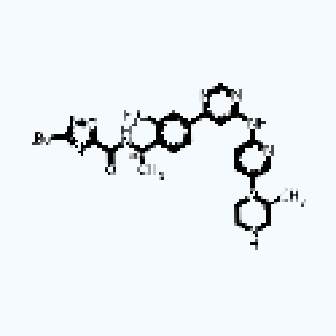 C[C@@H](NC(=O)c1nc(C(C)(C)C)no1)c1ccc(-c2cc(Nc3ccc(N4CCNC[C@@H]4C)cn3)ncn2)cc1C(F)(F)F